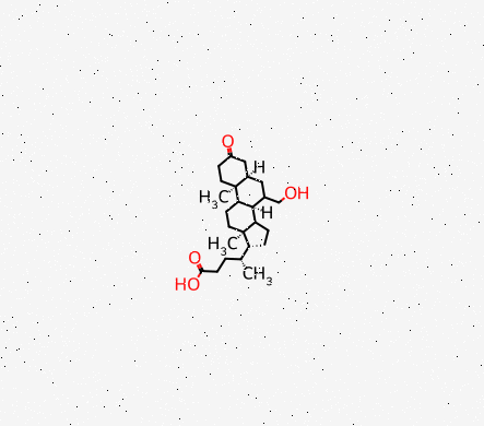 C[C@H](CCC(=O)O)[C@H]1CCC2[C@@H]3C(CO)C[C@@H]4CC(=O)CC[C@]4(C)C3CC[C@@]21C